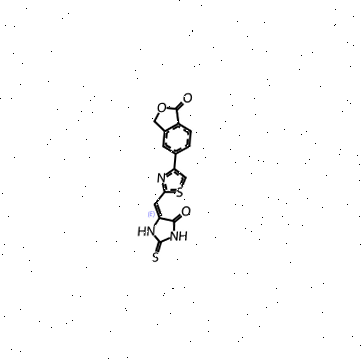 O=C1NC(=S)N/C1=C/c1nc(-c2ccc3c(c2)COC3=O)cs1